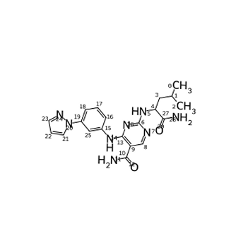 CC(C)CC(Nc1ncc(C(N)=O)c(Nc2cccc(-n3cccn3)c2)n1)C(N)=O